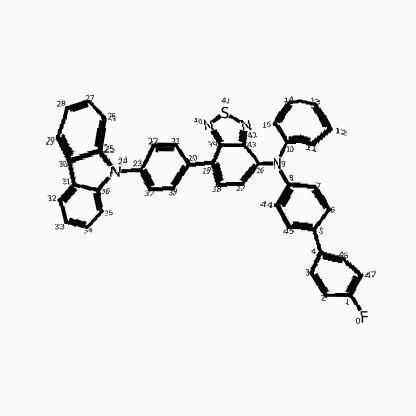 Fc1ccc(-c2ccc(N(c3ccccc3)c3ccc(-c4ccc(-n5c6ccccc6c6ccccc65)cc4)c4nsnc34)cc2)cc1